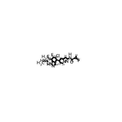 CNC(=O)N(C)c1c(F)c(Cl)c(-c2ccn3nc(NC(=O)C4CC4F)cc3c2)c2cn[nH]c12